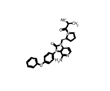 CC(C#N)C(=O)N1CCC[C@H]1Cn1c(=O)n(-c2ccc(Oc3ccccc3)cc2)c2c(N)nccc21